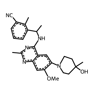 COc1cc2nc(C)nc(NC(C)c3cccc(C#N)c3C)c2cc1N1CCC(C)(O)CC1